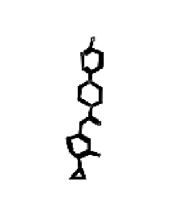 O=C(Cc1ccc(C2CC2)c(F)c1)N1CCN(c2ccc(Cl)nn2)CC1